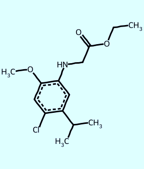 CCOC(=O)CNc1cc(C(C)C)c(Cl)cc1OC